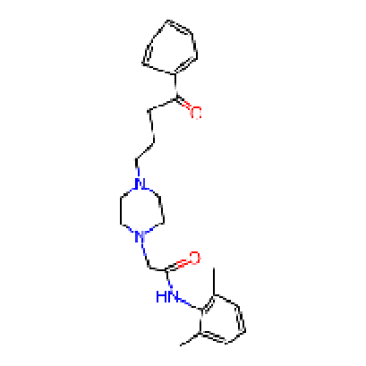 Cc1cccc(C)c1NC(=O)CN1CCN(CCCC(=O)c2ccccc2)CC1